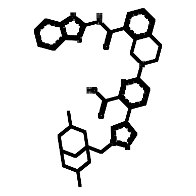 CC1CC2CC(C)CC(Cn3cc(-c4ccc(N5CCc6cccc(C(=O)Nc7nc8ccccc8s7)c6C5)nc4C(=O)O)cn3)(C1)C2